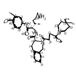 Cc1cc(NC(=O)[C@H](CCN)NC(=O)[C@@H]2Cc3ccccc3CN2C(=O)CCC(=O)N2CCC(C)(C)CC2)ccc1Cl